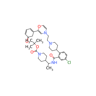 CC(NC(=O)c1cc(Cl)ccc1C1CCN(CCN2C=COC(C3=CC=CC(=O)C3)=C2)CC1)C1CCN(C(=O)OC(C)(C)C)CC1